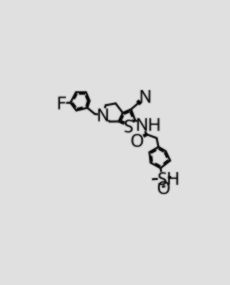 C[SH](C)(=O)c1ccc(CC(=O)Nc2sc3c(c2C#N)CCN(Cc2cccc(F)c2)C3)cc1